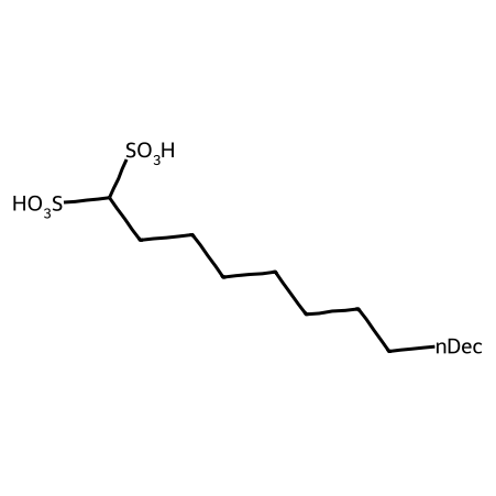 CCCCCCCCCCCCCCCCCC(S(=O)(=O)O)S(=O)(=O)O